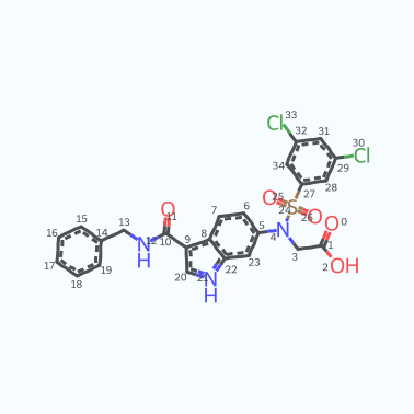 O=C(O)CN(c1ccc2c(C(=O)NCc3ccccc3)c[nH]c2c1)S(=O)(=O)c1cc(Cl)cc(Cl)c1